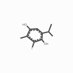 Cc1c(O)cc(C(C)C)c(O)c1I